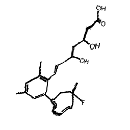 Cc1cc(C)c(C=CC(O)CC(O)CC(=O)O)c(C2=CC=CC(C)(F)C2)c1